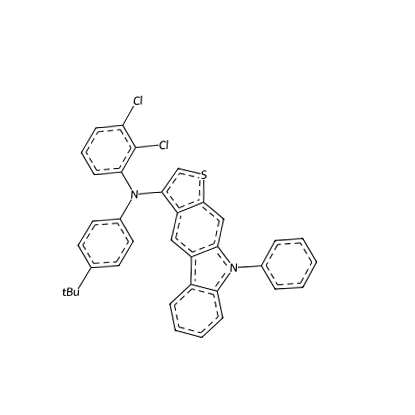 CC(C)(C)c1ccc(N(c2cccc(Cl)c2Cl)c2csc3cc4c(cc23)c2ccccc2n4-c2ccccc2)cc1